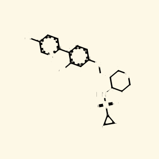 O=S(=O)(N[C@@H]1CCOC[C@H]1COc1ccc(-c2ccc(Cl)cn2)c(F)c1)C1CC1